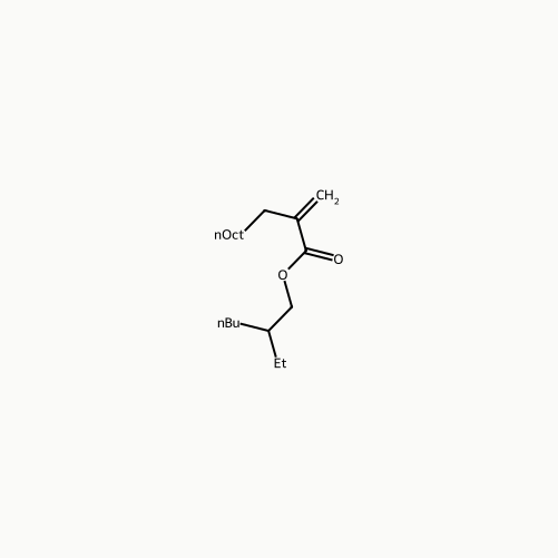 C=C(CCCCCCCCC)C(=O)OCC(CC)CCCC